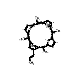 C/C=C/c1cc2[nH]c1c(CCCC)c1nc(c(CCCC)c3ccc([nH]3)c(CCCC)c3nc(c2CCCC)C=C3)C=C1